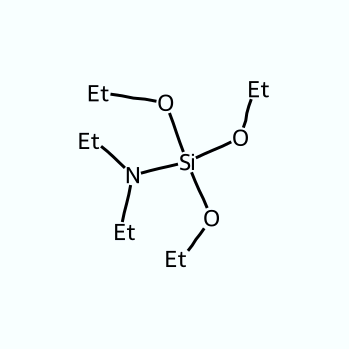 CCO[Si](OCC)(OCC)N(CC)CC